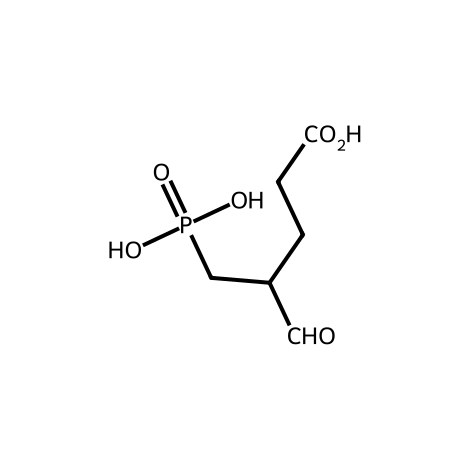 O=CC(CCC(=O)O)CP(=O)(O)O